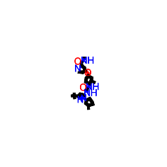 CNC(=O)c1cc(Oc2ccc(NC(=O)Nc3cc(C(C)(C)C)nn3-c3cccc(C)c3)c(C)c2)ccn1